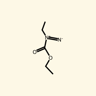 CCOC(=O)[N+](=[N-])CC